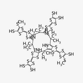 CSC1=C(S)SC(=C2Sc3c4[nH]c(c3S2)C(C)(C)c2[nH]c(c3c2SC(=C2SC(S)=C(S)S2)S3)C(C)(C)c2[nH]c(c3c2SC(=C2SC(S)=C(SC)S2)S3)C(C)(C)c2[nH]c(c3c2SC(=C2SC(S)=C(S)S2)S3)C4(C)C)S1